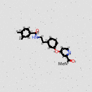 CNC(=O)c1cc(Oc2cccc(CCNC(=O)c3ccc(C)c(C)c3)c2)ccn1